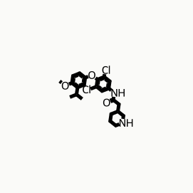 COc1ccc(Oc2c(Cl)cc(NC(=O)CC3CCCNC3)cc2Cl)cc1C(C)C